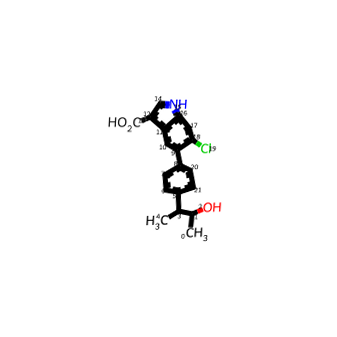 CC(O)C(C)c1ccc(-c2cc3c(C(=O)O)c[nH]c3cc2Cl)cc1